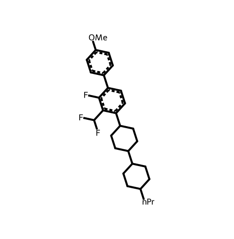 CCCC1CCC(C2CCC(c3ccc(-c4ccc(OC)cc4)c(F)c3C(F)F)CC2)CC1